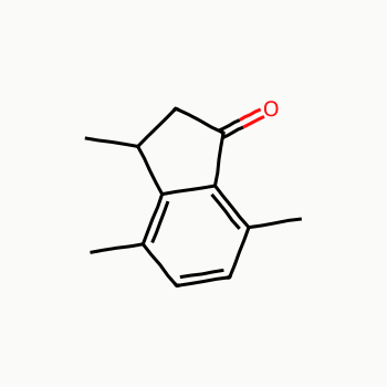 Cc1ccc(C)c2c1C(=O)CC2C